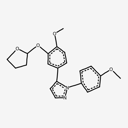 COc1ccc(-n2nccc2-c2ccc(OC)c(OC3CCCO3)c2)cc1